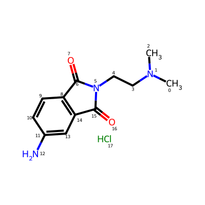 CN(C)CCN1C(=O)c2ccc(N)cc2C1=O.Cl